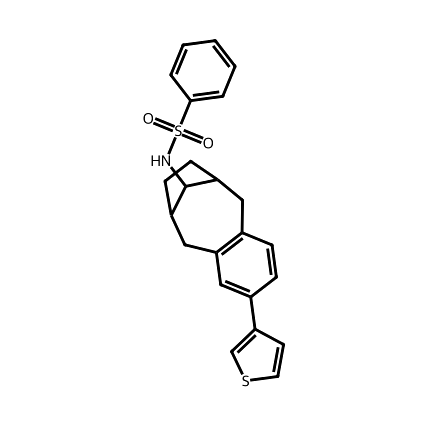 O=S(=O)(NC1C2CCC1Cc1cc(-c3ccsc3)ccc1C2)c1ccccc1